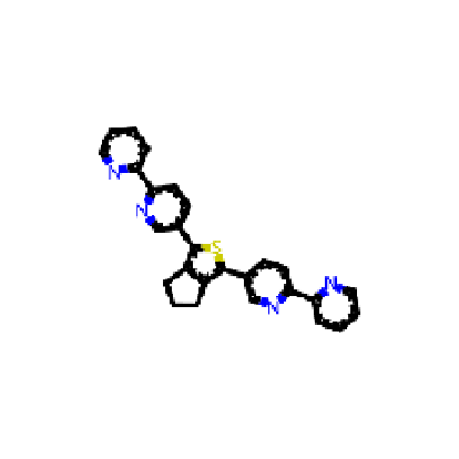 c1ccc(-c2ccc(-c3sc(-c4ccc(-c5ccccn5)nc4)c4c3CCC4)cn2)nc1